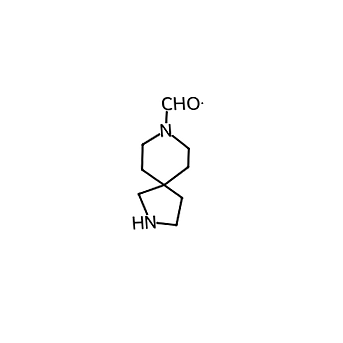 O=[C]N1CCC2(CCNC2)CC1